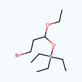 CCOC(CCBr)O[Si](CC)(CC)CC